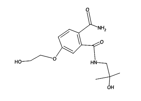 CC(C)(O)CNC(=O)c1cc(OCCO)ccc1C(N)=O